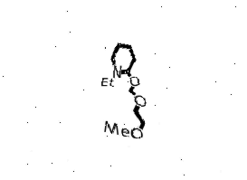 CCN1CCCCC1OCOCCOC